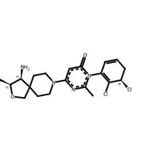 Cc1nc(N2CCC3(CC2)CO[C@@H](C)[C@H]3N)cc(=O)n1C1=C(Cl)[C@H](Cl)CC=C1